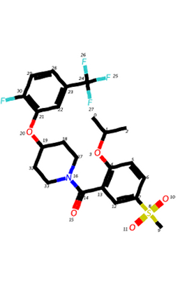 CC(C)Oc1ccc(S(C)(=O)=O)cc1C(=O)N1CCC(Oc2cc(C(F)(F)F)ccc2F)CC1